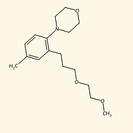 [CH2]c1ccc(N2CCOCC2)c(CCCOCCOC)c1